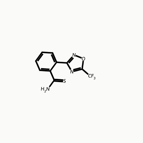 NC(=S)c1ccccc1-c1noc(C(F)(F)F)n1